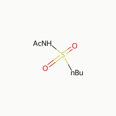 [CH2]CCCS(=O)(=O)NC(C)=O